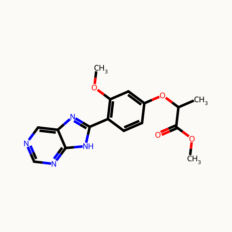 COC(=O)C(C)Oc1ccc(-c2nc3cncnc3[nH]2)c(OC)c1